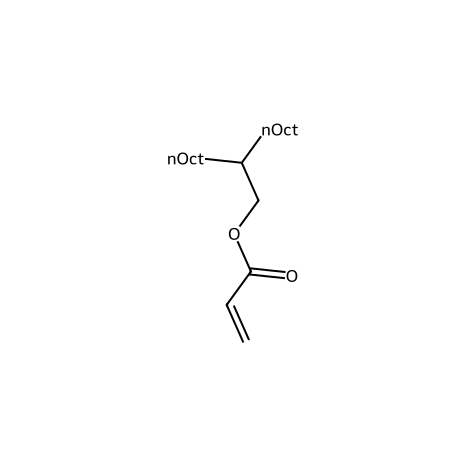 C=CC(=O)OCC(CCCCCCCC)CCCCCCCC